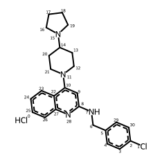 Cl.Clc1ccc(CNc2cc(N3CCC(N4CCCC4)CC3)c3ccccc3n2)cc1